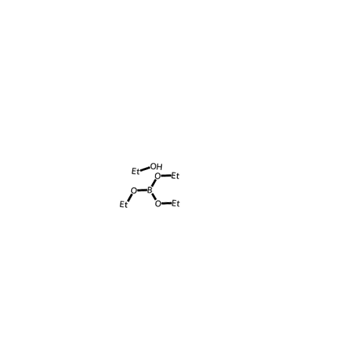 CCO.CCOB(OCC)OCC